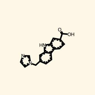 O=C(O)c1ccc2c(c1)[nH]c1cc(Cn3ccnc3)ccc12